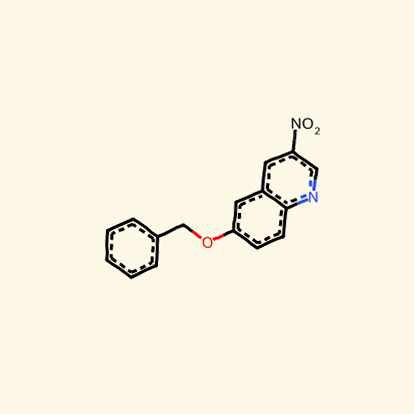 O=[N+]([O-])c1cnc2ccc(OCc3ccccc3)cc2c1